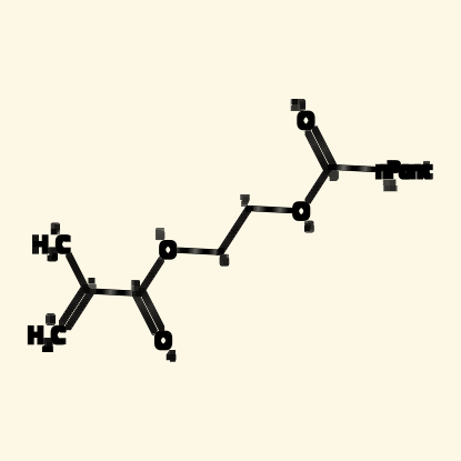 C=C(C)C(=O)OCCOC(=O)CCCCC